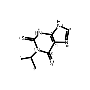 CC(C)n1c(=S)[nH]c2[nH]cnc2c1=O